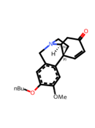 CCCCOc1cc2c(cc1OC)[C@@]13C=CC(=O)C[C@@H]1N(CC3)C2